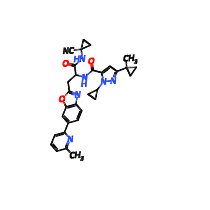 Cc1cccc(-c2ccc3nc(CC(NC(=O)c4cc(C5(C)CC5)nn4C4CC4)C(=O)NC4(C#N)CC4)oc3c2)n1